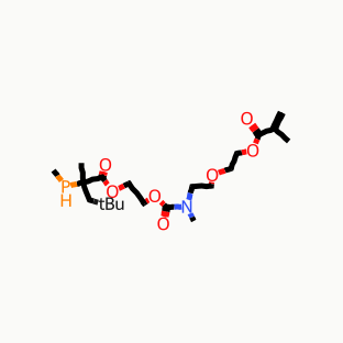 C=C(C)C(=O)OCCOCCN(C)C(=O)OCCOC(=O)C(C)(CC(C)(C)C)PC